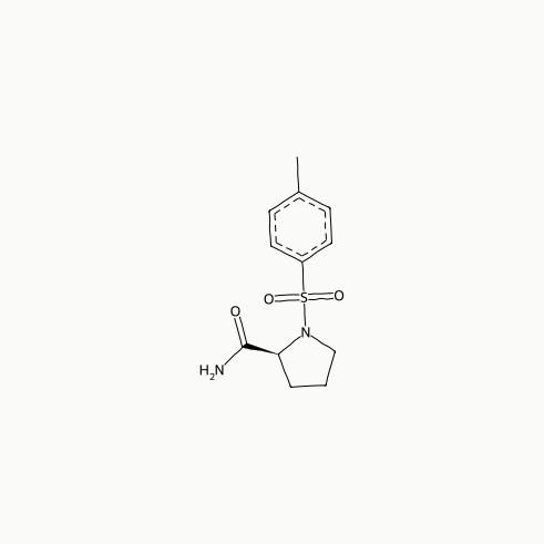 Cc1ccc(S(=O)(=O)N2CCC[C@H]2C(N)=O)cc1